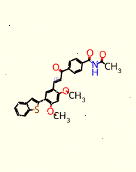 COc1cc(OC)c(-c2cc3ccccc3s2)cc1/C=C/C(=O)c1ccc(C(=O)NC(C)=O)cc1